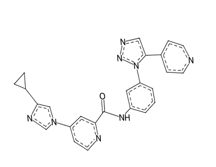 O=C(Nc1cccc(-n2nncc2-c2ccncc2)c1)c1cc(-n2cnc(C3CC3)c2)ccn1